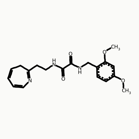 COc1ccc(CNC(=O)C(=O)NCCC2=NC=CC=CC2)c(OC)c1